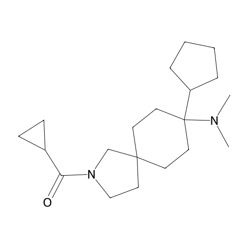 CN(C)C1(C2CCCC2)CCC2(CCN(C(=O)C3CC3)C2)CC1